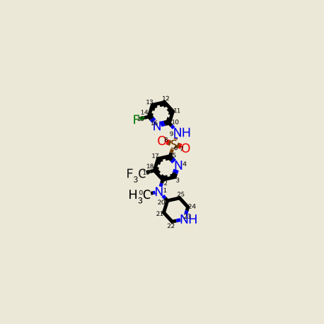 CN(c1cnc(S(=O)(=O)Nc2cccc(F)n2)cc1C(F)(F)F)C1CCNCC1